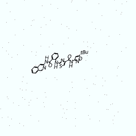 CC(C)(C)c1cc(NC(=O)c2csc(Nc3ccccc3C(=O)Nc3cc4ccccc4cn3)n2)no1